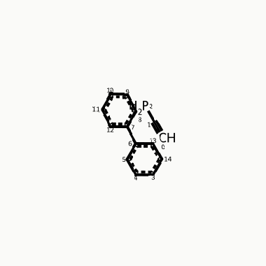 C#CP.c1ccc(-c2ccccc2)cc1